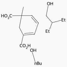 CC1(C(=O)O)C=CC=C(C(=O)O)C1.CCC(CC)CO.CCCCO